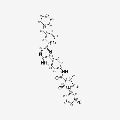 Cc1c(C(=O)Nc2ccc(-c3nc(-c4cccc(CN5CCOCC5)c4)cnc3N)cc2)c(=O)n(-c2cccc(Cl)c2)n1C